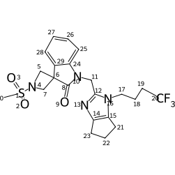 CS(=O)(=O)N1CC2(C1)C(=O)N(Cc1nc3c(n1CCCC(F)(F)F)CCC3)c1ccccc12